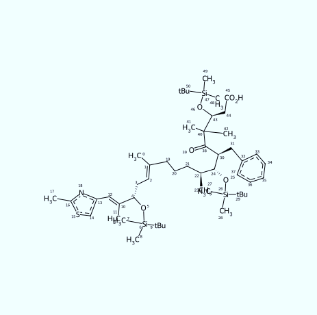 CC(=CC[C@H](O[Si](C)(C)C(C)(C)C)C(C)=Cc1csc(C)n1)CCC[C@H](C)[C@@H](O[Si](C)(C)C(C)(C)C)[C@H](Cc1ccccc1)C(=O)C(C)(C)[C@H](CC(=O)O)O[Si](C)(C)C(C)(C)C